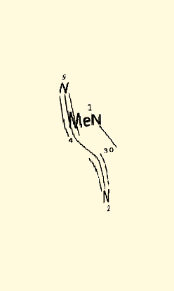 CNC.N#CC#N